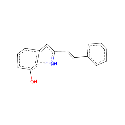 Oc1cccc2cc(C=Cc3ccccc3)[nH]c12